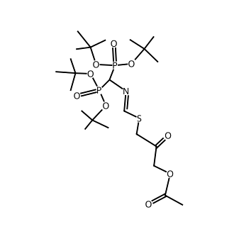 CC(=O)OCC(=O)CSC=NC(P(=O)(OC(C)(C)C)OC(C)(C)C)P(=O)(OC(C)(C)C)OC(C)(C)C